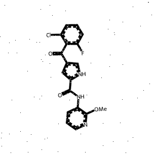 COc1ncccc1NC(=O)c1cc(C(=O)c2c(F)cccc2Cl)c[nH]1